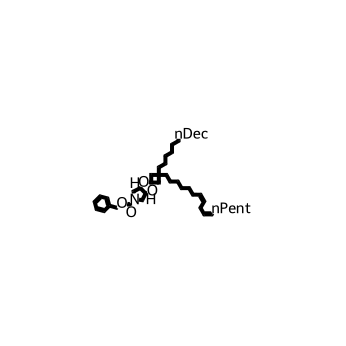 CCCCC/C=C\C/C=C\CCCCCCC1(CCCCCCCCCCCCCCCC)CC2(C1)O[C@H]1CN(C(=O)OCc3ccccc3)C[C@@H]1O2